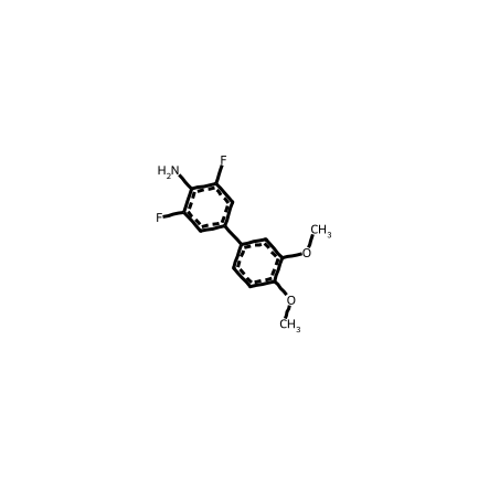 COc1ccc(-c2cc(F)c(N)c(F)c2)cc1OC